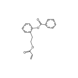 C=CC(=O)OCCc1ccccc1OC(=O)c1ccccc1